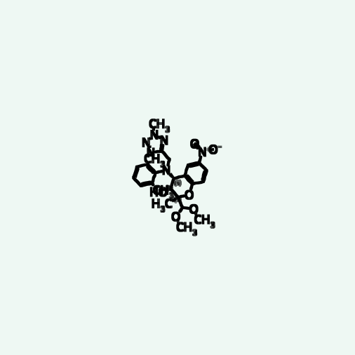 COC(OC)[C@@]1(C)Oc2ccc([N+](=O)[O-])cc2[C@H](N(Cc2nnn(C)n2)c2c(C)cccc2C)[C@H]1O